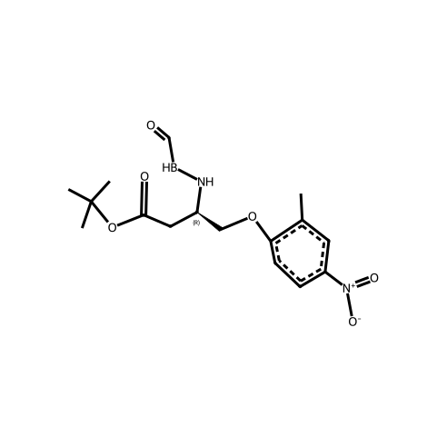 Cc1cc([N+](=O)[O-])ccc1OC[C@@H](CC(=O)OC(C)(C)C)NBC=O